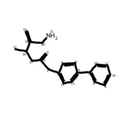 C=C(Cc1ccc(-c2ccccc2)cc1)CC(C)C(=C)CN